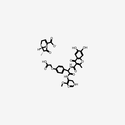 COC1=C(NC(=O)C(NC(=O)c2c(C)oc3cc(O)c(O)cc3c2=O)c2ccc(OCC(=O)O)cc2)CNC=[C+]1.C[C@H]1C(=O)N2C(C(=O)[O-])=CCS[C@@H]12